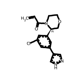 C=CC(=O)N1CCOC[C@H]1c1cc(Cl)cc(-c2cn[nH]c2)c1